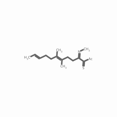 CC=CCC/C(C)=C(\C)CCC(=NC)C(=S)C(C)=O